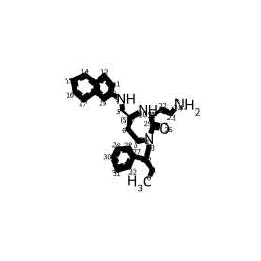 CCC(CN1CC[C@@H](CNc2ccc3ccccc3c2)N[C@@H](CCN)C1=O)c1ccccc1